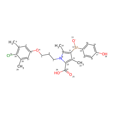 Cc1cc(OCCCn2c(C)c([S+]([O-])c3ccc(O)cc3)c(C)c2C(=O)O)cc(C)c1Cl